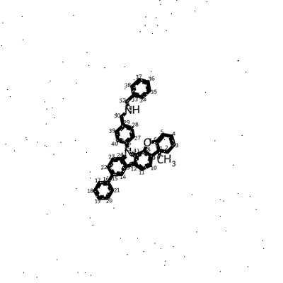 CC12CC=CC=C1Oc1c2ccc2c3cc(-c4ccccc4)ccc3n(-c3ccc(CNCc4ccccc4)cc3)c12